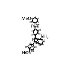 COc1cccc(C(F)(F)c2ccc(-c3nc(C4=C5CC(CO)(C5)OC4)n4ccnc(N)c34)cc2)c1